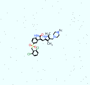 CC(=O)N1CCN(Cc2c(C)[nH]c(/C=C3\C(=O)Nc4ccc(S(=O)(=O)Cc5c(Cl)cccc5Cl)cc43)c2C)CC1